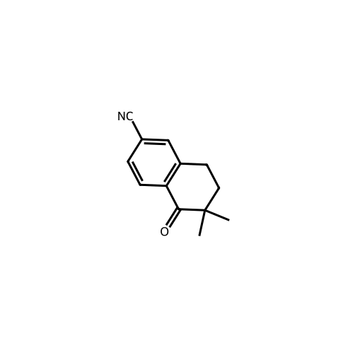 CC1(C)CCc2cc(C#N)ccc2C1=O